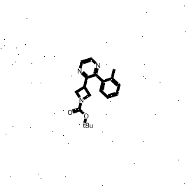 Cc1ccccc1-c1nccnc1C1CN(C(=O)OC(C)(C)C)C1